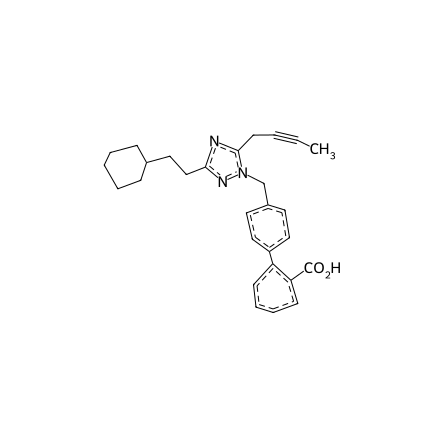 CC#CCc1nc(CCC2CCCCC2)nn1Cc1ccc(-c2ccccc2C(=O)O)cc1